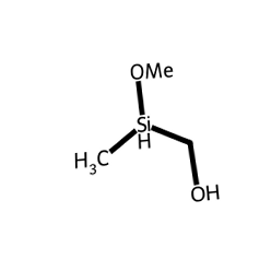 CO[SiH](C)CO